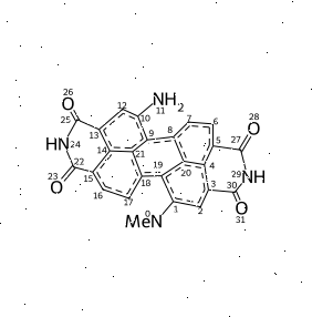 CNc1cc2c3c(ccc4c5c(N)cc6c7c(ccc(c1c34)c75)C(=O)NC6=O)C(=O)NC2=O